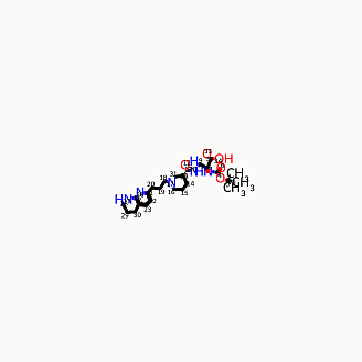 CC(C)(C)OC(=O)NC(CNC(=O)[C@@H]1CCCN(CCCc2ccc3c(n2)NCCC3)C1)C(=O)O